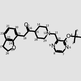 CC(C)(C)Oc1nccnc1CN1CCC(C(=O)Cc2cccc3c2OCC3)CC1